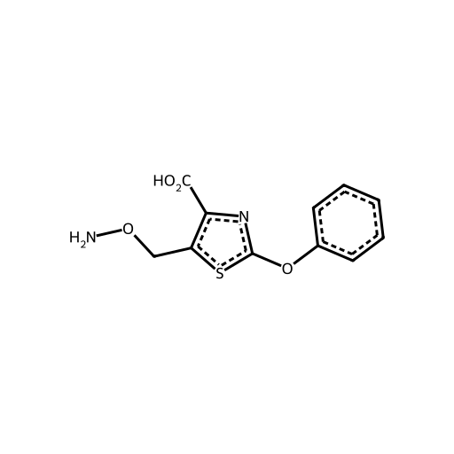 NOCc1sc(Oc2ccccc2)nc1C(=O)O